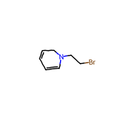 BrCCN1C=CC=CC1